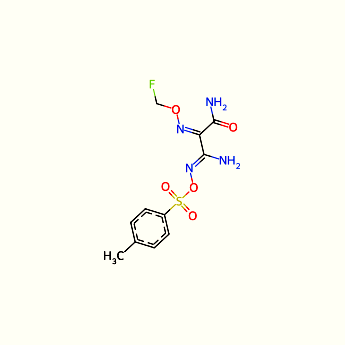 Cc1ccc(S(=O)(=O)ON=C(N)C(=NOCF)C(N)=O)cc1